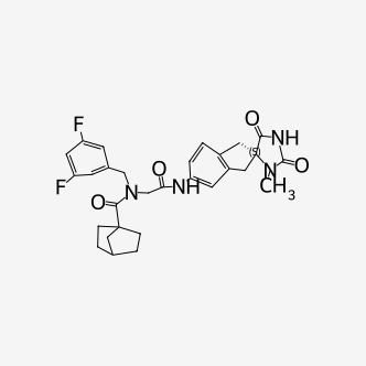 CN1C(=O)NC(=O)[C@@]12Cc1ccc(NC(=O)CN(Cc3cc(F)cc(F)c3)C(=O)C34CCC(CC3)C4)cc1C2